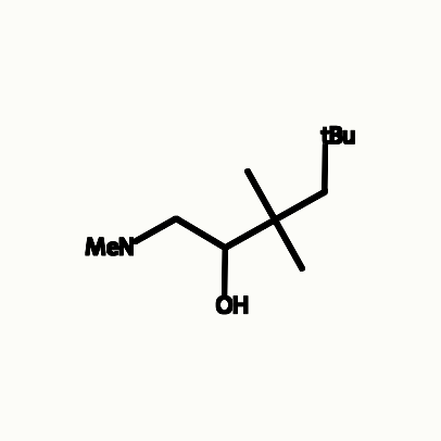 CNCC(O)C(C)(C)CC(C)(C)C